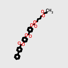 C=CC(=O)OCCCCOC(=O)Oc1ccc(C(=O)Oc2ccc(OC(=O)c3ccc(-c4ccccc4)cc3)cc2)cc1